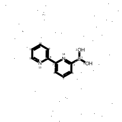 OB(O)c1cccc(-c2ccccn2)n1